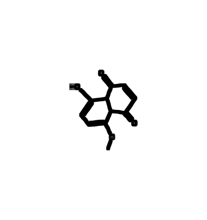 COC1=CC=C(O)C2C(=O)C=CC(=O)C12